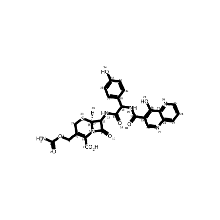 NC(=O)OCC1=C(C(=O)O)N2C(=O)C(NC(=O)C(NC(=O)c3cnc4cccnc4c3O)c3ccc(O)cc3)[C@@H]2SC1